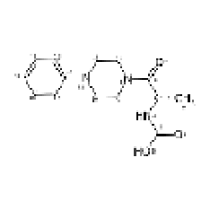 C[C@H](NC(=O)O)C(=O)N1CCN(c2ccccc2)CC1